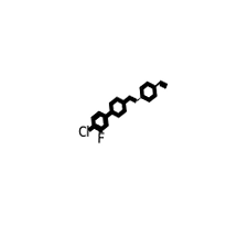 C=C[C@H]1CC[C@H](CCC2CCC(c3ccc(Cl)c(F)c3)CC2)CC1